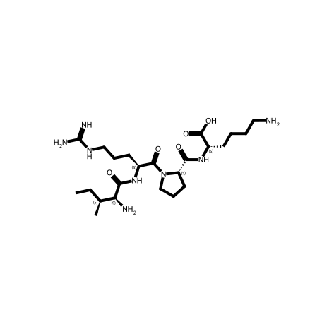 CC[C@H](C)[C@H](N)C(=O)N[C@@H](CCCNC(=N)N)C(=O)N1CCC[C@H]1C(=O)N[C@@H](CCCCN)C(=O)O